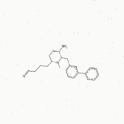 CN1C(CCCC=O)CCC(N)C1Cc1cccc(-c2ccccc2)c1